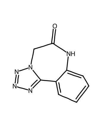 O=C1Cn2nnnc2-c2ccccc2N1